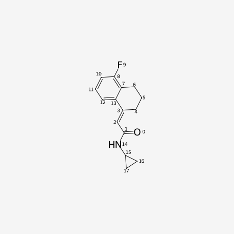 O=C(C=C1CCCc2c(F)cccc21)NC1CC1